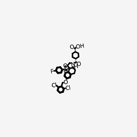 O=C(O)[C@H]1CC[C@H](C(=O)N2CC[C@@]3(S(=O)(=O)c4ccc(F)cc4)c4ccc(OCc5c(Cl)cccc5Cl)cc4CC[C@@H]23)CC1